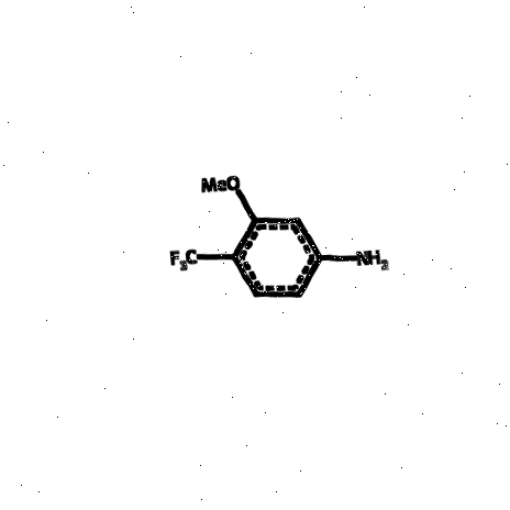 COc1cc(N)ccc1C(F)(F)F